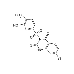 O=C(O)c1ccc(S(=O)(=O)n2c(=O)[nH]c3cc(Cl)ccc3c2=O)cc1O